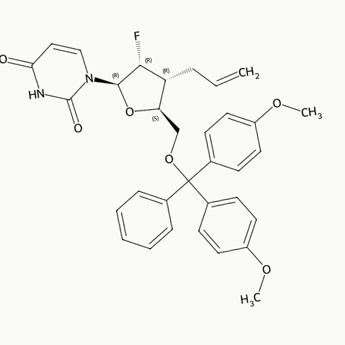 C=CC[C@H]1[C@@H](F)[C@H](n2ccc(=O)[nH]c2=O)O[C@@H]1COC(c1ccccc1)(c1ccc(OC)cc1)c1ccc(OC)cc1